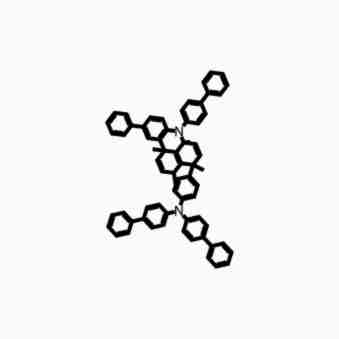 CC1C=CC2(C)C3=C1C(C)(c1ccc(N(c4ccc(-c5ccccc5)cc4)c4ccc(-c5ccccc5)cc4)cc1)C=CC3(C)N(c1ccc(-c3ccccc3)cc1)c1ccc(-c3ccccc3)cc12